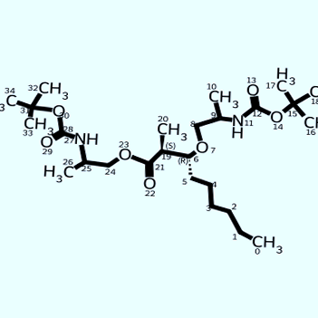 CCCCCC[C@@H](OCC(C)NC(=O)OC(C)(C)C)[C@H](C)C(=O)OCC(C)NC(=O)OC(C)(C)C